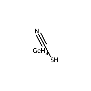 N#CS.[GeH4]